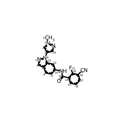 Cn1cc(-n2ncc3ccc(NC(=O)c4cccc(C#N)c4F)cc32)cn1